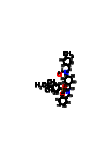 Cc1ccc(CN(C=O)C2CCC(CN(Cc3ccccc3)S(=O)(=O)c3ccc(C(C)(C)C)cc3)CC2)cc1